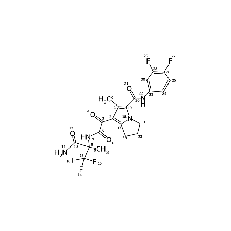 Cc1c(C(=O)C(=O)NC(C)(C(N)=O)C(F)(F)F)c2n(c1C(=O)Nc1ccc(F)c(F)c1)CCC2